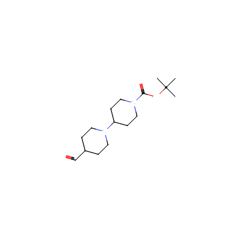 CC(C)(C)OC(=O)N1CCC(N2CCC(C=O)CC2)CC1